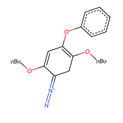 CCCCOC1=CC(Oc2ccccc2)=C(OCCCC)CC1=[N+]=[N-]